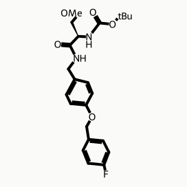 COC[C@@H](NC(=O)OC(C)(C)C)C(=O)NCc1ccc(OCc2ccc(F)cc2)cc1